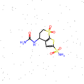 NC(=O)NC1CCS(=O)(=O)c2sc(S(N)(=O)=O)cc21